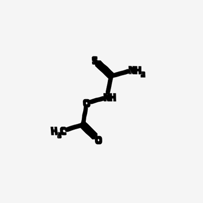 CC(=O)ONC(N)=S